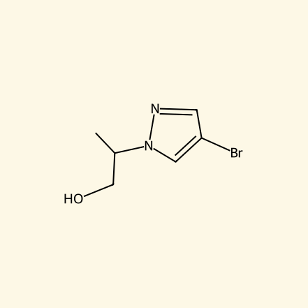 CC(CO)n1cc(Br)cn1